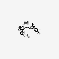 Cc1cccc(-c2cn(CCCCN3C[C@@H]4C[C@]4(c4ccc(C(F)(F)F)cc4)C3)c(=O)[nH]c2=O)n1.Cl.Cl